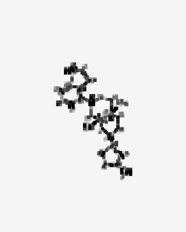 CC[C@]12CN(c3nc(C#N)cs3)CC[C@H]1CCN(c1ncnc3[nH]ccc13)C2